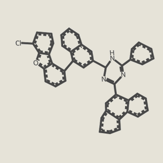 Clc1cccc2c1oc1cccc(-c3cc(C4N=C(c5cc6ccccc6c6ccccc56)N=C(c5ccccc5)N4)cc4ccccc34)c12